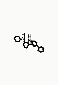 c1ccc(-c2ccc3[nH]c4c(c3c2)CCCC4NC2CCCCC2)cc1